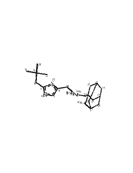 CC(C)(C)Cc1ncc(CNC23CC4CC(CC(C4)C2)C3)s1